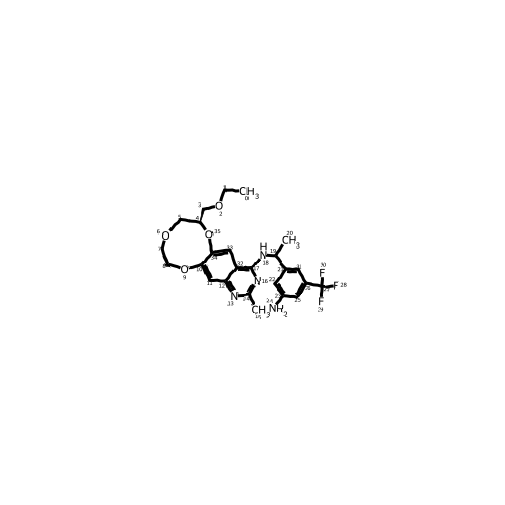 CCOC[C@@H]1COCCOc2cc3nc(C)nc(NC(C)c4cc(N)cc(C(F)(F)F)c4)c3cc2O1